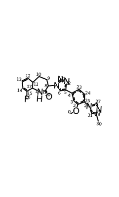 COc1cc(-c2cn(C3CCC4C=CC=C(F)C4NC3=O)nn2)ccc1-n1cnc(C)c1